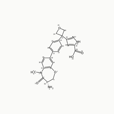 CN1C(=O)[C@@H](N)COc2cc(-c3ccc(C4(c5n[nH]c(C(=O)O)n5)COC4)cc3)ccc21